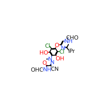 C/C(=N\C(=C/NC=O)Oc1c(Cl)c(O)c(N(C)/N=C(/C#N)C(=O)NC=O)c(O)c1Cl)C(C)C